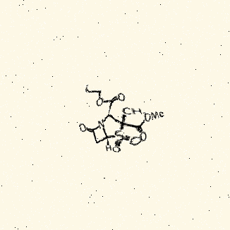 COC(=O)[C@@]1(C)[C@H](C(=O)OCI)N2C(=O)C[C@H]2S1(=O)=O